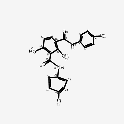 O=C(Nc1ccc(Cl)cc1)c1ccc(O)c(C(=O)Nc2ccc(Cl)cc2)c1O